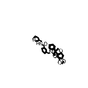 O=C(NCc1cccnc1)c1cccc(CN2C(=O)C3(COc4cc5c(cc43)OCO5)c3ccccc32)c1